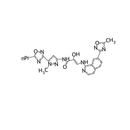 CCCc1nc(-c2cc(NC(=O)C(O)=CNc3nccc4ccc(-c5noc(C)n5)cc34)nn2C)no1